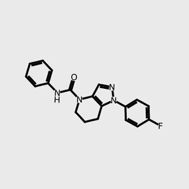 O=C(Nc1ccccc1)N1CCCc2c1cnn2-c1ccc(F)cc1